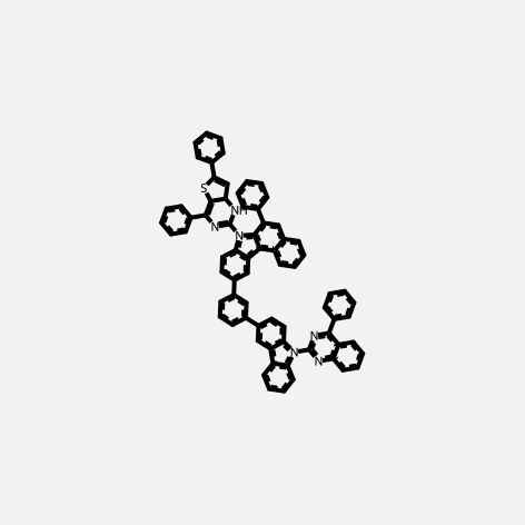 C1=C(c2ccccc2)SC2=C(c3ccccc3)N=C(n3c4ccc(-c5cccc(-c6ccc7c(c6)c6ccccc6n7-c6nc(-c7ccccc7)c7ccccc7n6)c5)cc4c4c5ccccc5cc(-c5ccccc5)c43)NC12